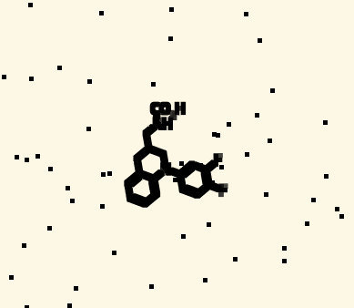 O=C(O)NCC1Cc2ccccc2N(c2ccc(F)c(F)c2)C1